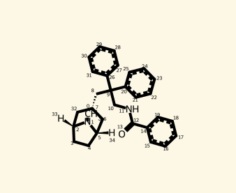 CN1[C@@H]2CC[C@H]1C[C@@H](CC(CNC(=O)c1ccccc1)(c1ccccc1)c1ccccc1)C2